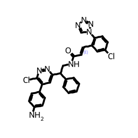 Nc1ccc(-c2cc(C(CNC(=O)/C=C/c3cc(Cl)ccc3-n3cnnn3)c3ccccc3)nnc2Cl)cc1